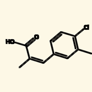 CC(=Cc1ccc(Cl)c(C)c1)C(=O)O